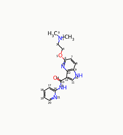 CN(C)CCOc1ccc2[nH]cc(C(=O)Nc3ccccn3)c2n1